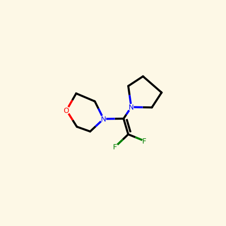 FC(F)=C(N1CCCC1)N1CCOCC1